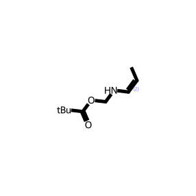 C/C=C\NCOC(=O)C(C)(C)C